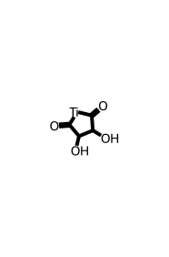 O=[C]1[Ti][C](=O)C(O)C1O